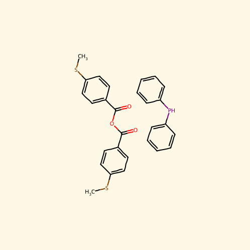 CSc1ccc(C(=O)OC(=O)c2ccc(SC)cc2)cc1.c1ccc(Pc2ccccc2)cc1